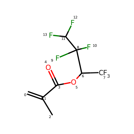 C=C(C)C(=O)OC(C(F)(F)F)C(F)(F)C(F)F